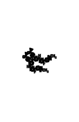 Cc1nc2ccc(-c3nc(Nc4ccc(C(=O)c5ccc(Nc6ncc(F)c(-c7ccc8nc(C)sc8c7)n6)nc5N5CCN(C(=O)C6CC6)CC5)c(N5CCN(C(=O)C6CC6)CC5)n4)ncc3F)cc2s1